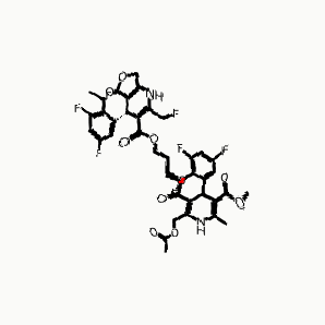 COC(=O)C1=C(C)NC(COC(C)=O)=C(C(=O)OCCCOC(=O)C2=C(CF)NC3=C(C(=O)OC3)[C@H]2c2cc(F)cc(F)c2C(C)F)C1c1cc(F)cc(F)c1C(C)F